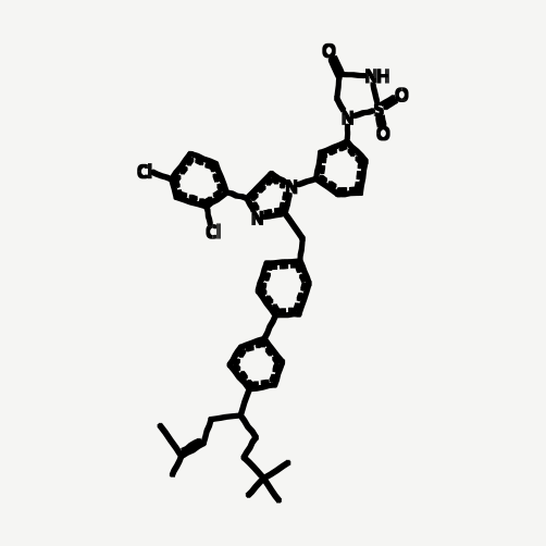 CC(C)=CCC(CCC(C)(C)C)c1ccc(-c2ccc(Cc3nc(-c4ccc(Cl)cc4Cl)cn3-c3cccc(N4CC(=O)NS4(=O)=O)c3)cc2)cc1